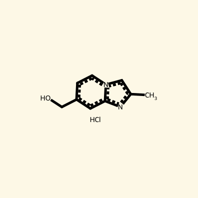 Cc1cn2ccc(CO)cc2n1.Cl